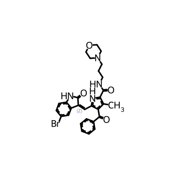 Cc1c(C(=O)NCCCN2CCOCC2)[nH]c(/C=C2\C(=O)Nc3ccc(Br)cc32)c1C(=O)c1ccccc1